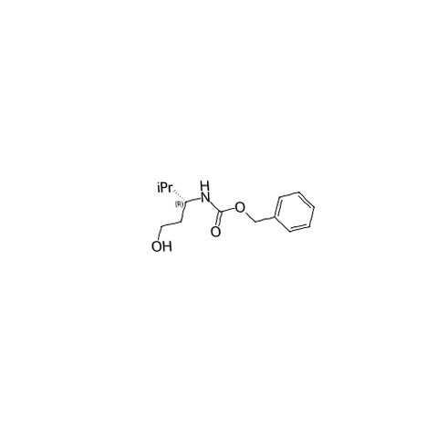 CC(C)[C@@H](CCO)NC(=O)OCc1ccccc1